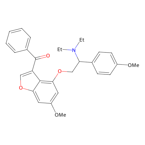 CCN(CC)C(COc1cc(OC)cc2occ(C(=O)c3ccccc3)c12)c1ccc(OC)cc1